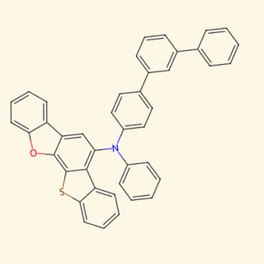 c1ccc(-c2cccc(-c3ccc(N(c4ccccc4)c4cc5c6ccccc6oc5c5sc6ccccc6c45)cc3)c2)cc1